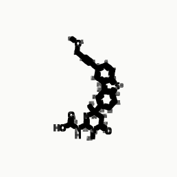 COCC#Cc1ccc2sc3ccc(C4(C)CC(=O)N(C)C(NC(=O)O)=N4)cc3c2c1